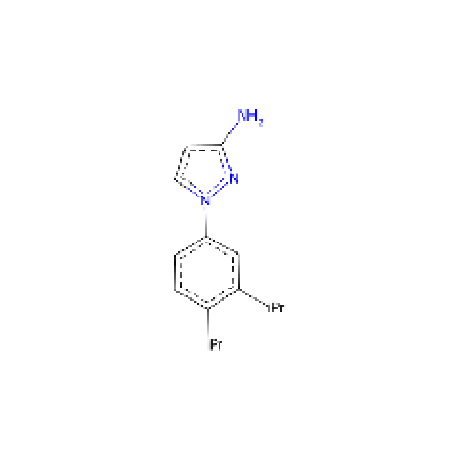 CC(C)c1ccc(-n2ccc(N)n2)cc1C(C)C